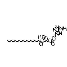 CCCCCCCCCCCCCCCCCC(=O)OCC(COP(COCCn1cnc2c(N)ncnc21)OC)OO